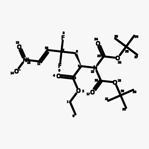 CCOC(=O)[C@H](CC(F)(F)C=C[N+](=O)[O-])N(C(=O)OC(C)(C)C)C(=O)OC(C)(C)C